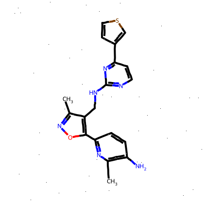 Cc1nc(-c2onc(C)c2CNc2nccc(-c3ccsc3)n2)ccc1N